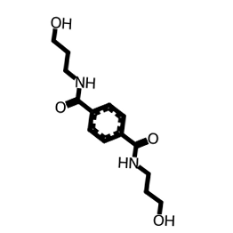 O=C(NCCCO)c1ccc(C(=O)NCCCO)cc1